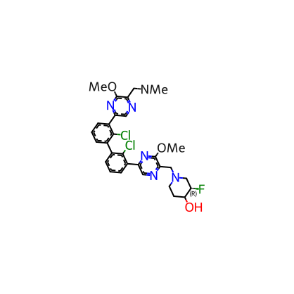 CNCc1ncc(-c2cccc(-c3cccc(-c4cnc(CN5CCC(O)[C@H](F)C5)c(OC)n4)c3Cl)c2Cl)nc1OC